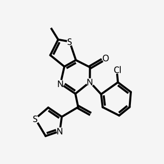 C=C(c1cscn1)c1nc2cc(C)sc2c(=O)n1-c1ccccc1Cl